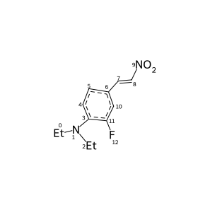 CCN(CC)c1ccc(/C=C/[N+](=O)[O-])cc1F